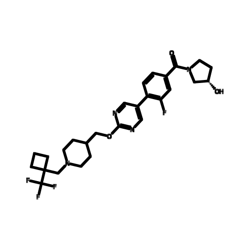 O=C(c1ccc(-c2cnc(OCC3CCN(CC4(C(F)(F)F)CCC4)CC3)nc2)c(F)c1)N1CC[C@H](O)C1